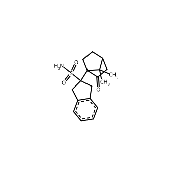 CC1(C)C2CCC1(C1(S(N)(=O)=O)Cc3ccccc3C1)C(=O)C2